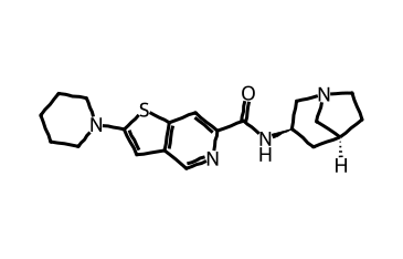 O=C(N[C@@H]1C[C@@H]2CCN(C2)C1)c1cc2sc(N3CCCCC3)cc2cn1